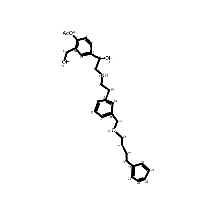 CC(=O)Oc1ccc([C@@H](O)CNCCc2cccc(COCCCCc3ccccc3)c2)cc1CO